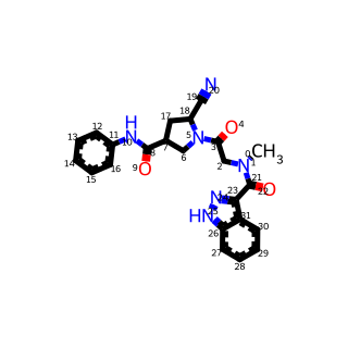 CN(CC(=O)N1CC(C(=O)Nc2ccccc2)CC1C#N)C(=O)c1n[nH]c2ccccc12